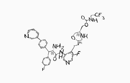 N[C@H](C(=O)Nc1cncc(F)c1CC[C@@H]1CN[C@H](COC(=O)NCC(F)(F)F)CO1)C(c1ccc(F)cc1)c1ccc(-c2cccnc2)cc1